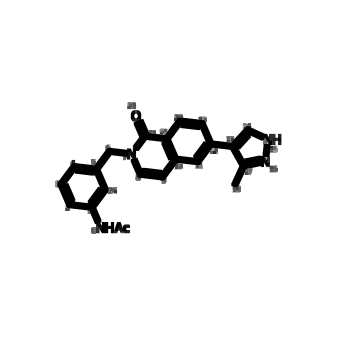 CC(=O)Nc1cccc(Cn2ccc3cc(-c4c[nH]nc4C)ccc3c2=O)c1